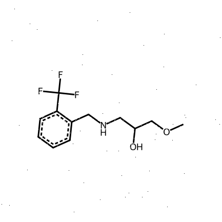 COCC(O)CNCc1ccccc1C(F)(F)F